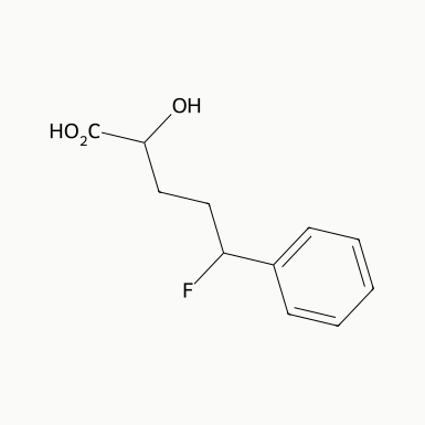 O=C(O)C(O)CCC(F)c1ccccc1